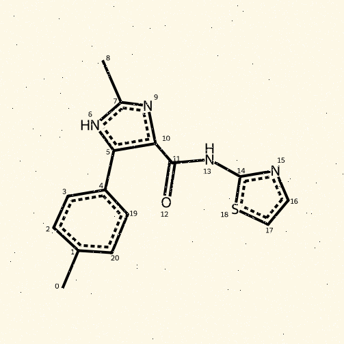 Cc1ccc(-c2[nH]c(C)nc2C(=O)Nc2nccs2)cc1